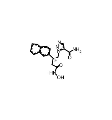 NC(=O)c1cnnn1C[C@@H](CC(=O)NO)c1ccc2ccccc2c1